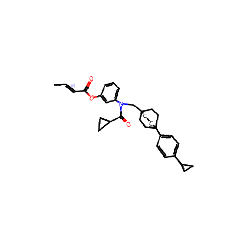 C/C=C/C(=O)Oc1cccc(N(CC23CCC(c4ccc(C5CC5)cc4)(CC2)CC3)C(=O)C2CC2)c1